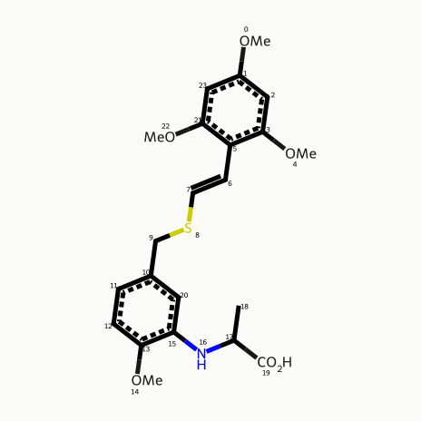 COc1cc(OC)c(/C=C/SCc2ccc(OC)c(NC(C)C(=O)O)c2)c(OC)c1